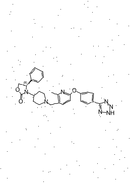 Cc1nc(Oc2ccc(-c3nn[nH]n3)cc2)ccc1CN1CCC(N2C(=O)OC[C@H]2c2ccccc2)CC1